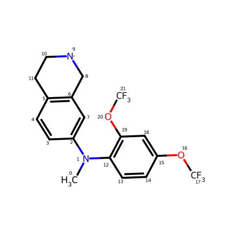 CN(c1ccc2c(c1)C[N]CC2)c1ccc(OC(F)(F)F)cc1OC(F)(F)F